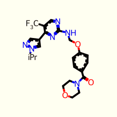 CC(C)n1cc(-c2nc(NCOc3ccc(C(=O)N4CCOCC4)cc3)ncc2C(F)(F)F)cn1